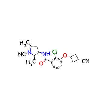 C[C@@H]1[C@H](NC(=O)c2cccc(O[C@H]3C[C@@H](C#N)C3)c2Cl)C[C@H](C)N1C#N